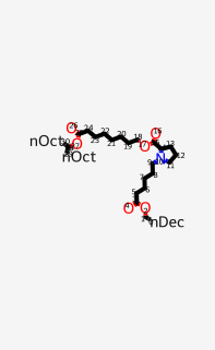 CCCCCCCCCCCOC(=O)CCCCCN1CCCC1C(=O)OCCCCCCCC(=O)OC(CCCCCCCC)CCCCCCCC